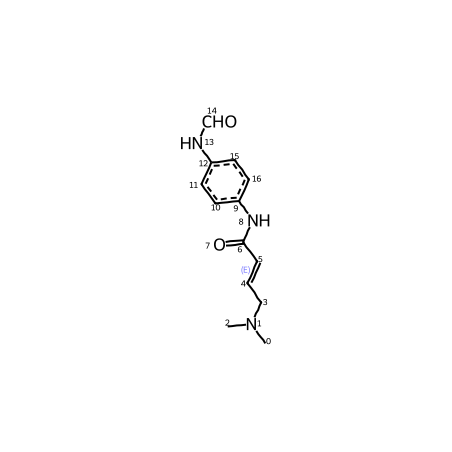 CN(C)C/C=C/C(=O)Nc1ccc(NC=O)cc1